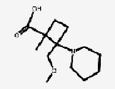 COCC1(N2CCCCC2)CCC1(C)C(=O)O